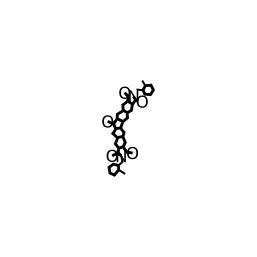 Cc1ccccc1Cn1c(=O)c2cc3cc4c(=O)c5cc6cc7c(=O)n(Cc8ccccc8C)c(=O)c7cc6cc5c4cc3cc2c1=O